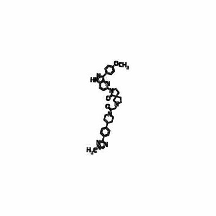 COc1ccc(-c2n[nH]c3ccc(N4CC[C@]5(CCN(CC(=O)N6CC=C(c7ccc(-c8ncn(C)n8)cc7)CC6)C5)C4=O)nc23)cc1